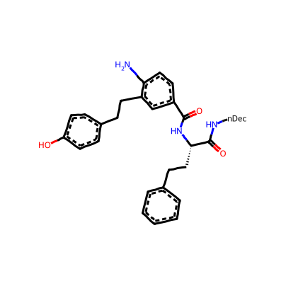 CCCCCCCCCCNC(=O)[C@H](CCc1ccccc1)NC(=O)c1ccc(N)c(CCc2ccc(O)cc2)c1